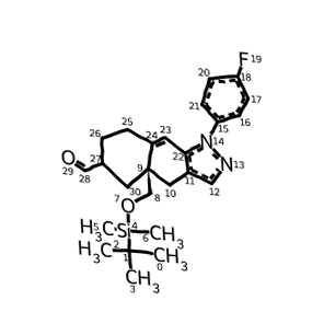 CC(C)(C)[Si](C)(C)OC[C@]12Cc3cnn(-c4ccc(F)cc4)c3C=C1CCC(C=O)C2